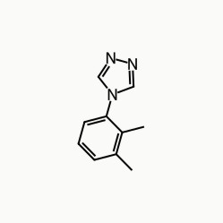 Cc1cccc(-n2cnnc2)c1C